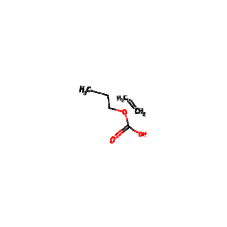 C=C.CCCOC(=O)O